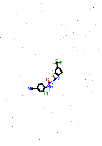 N#Cc1ccc(NC(=O)Nc2nc3ccc(C(F)(F)F)cc3s2)c(Cl)c1